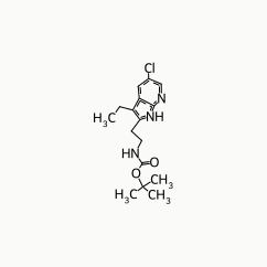 CCc1c(CCNC(=O)OC(C)(C)C)[nH]c2ncc(Cl)cc12